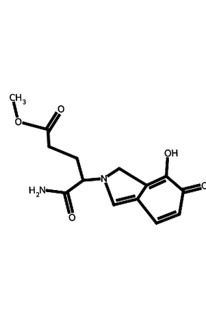 COC(=O)CCC(C(N)=O)N1C=C2C=CC(=O)C(O)=C2C1